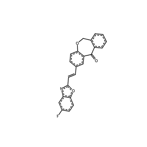 O=C1c2ccccc2COc2ccc(C=Cc3nc4cc(F)ccc4o3)cc21